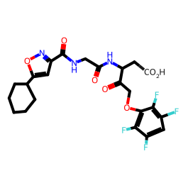 O=C(O)CC(NC(=O)CNC(=O)c1cc(C2CCCCC2)on1)C(=O)COc1c(F)c(F)cc(F)c1F